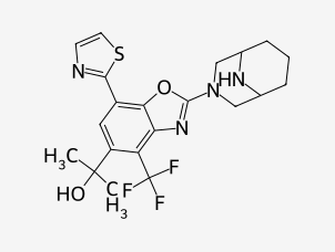 CC(C)(O)c1cc(-c2nccs2)c2oc(N3CC4CCCC(C3)N4)nc2c1C(F)(F)F